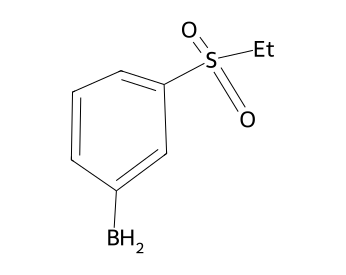 Bc1cccc(S(=O)(=O)CC)c1